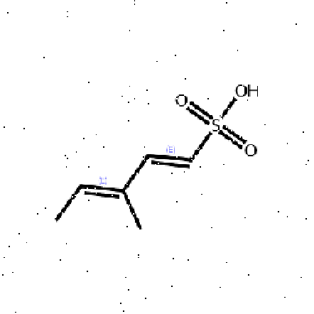 C/C=C(C)/C=C/S(=O)(=O)O